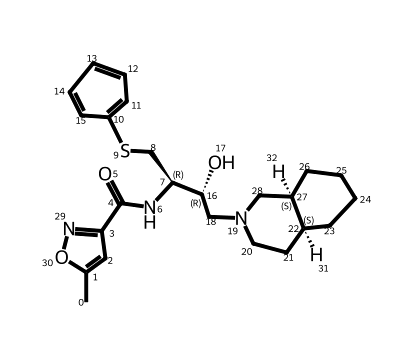 Cc1cc(C(=O)N[C@@H](CSc2ccccc2)[C@H](O)CN2CC[C@@H]3CCCC[C@@H]3C2)no1